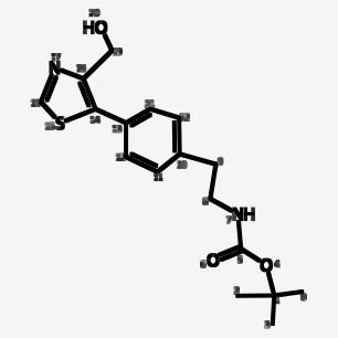 CC(C)(C)OC(=O)NCCc1ccc(-c2scnc2CO)cc1